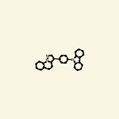 c1ccc2c(c1)ccc1c(-c3ccc(-n4c5ccccc5c5ccccc54)cc3)cnn12